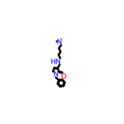 CN(C)CCCCCNCC1=CCN2Cc3ccccc3OC=C12